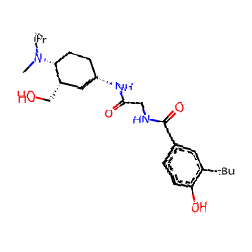 CC(C)N(C)[C@@H]1CC[C@H](NC(=O)CNC(=O)c2ccc(O)c(C(C)(C)C)c2)C[C@@H]1CO